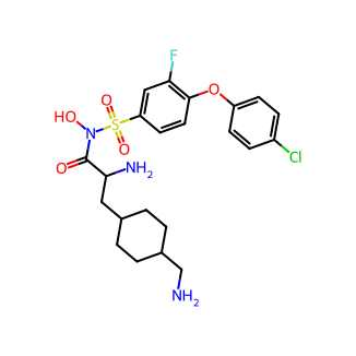 NCC1CCC(CC(N)C(=O)N(O)S(=O)(=O)c2ccc(Oc3ccc(Cl)cc3)c(F)c2)CC1